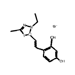 CCn1nc(C)s[c+]1C=Cc1ccc(O)cc1O.[Br-]